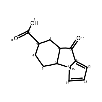 O=C(O)C1CCC2C(C1)C(=O)c1cccn12